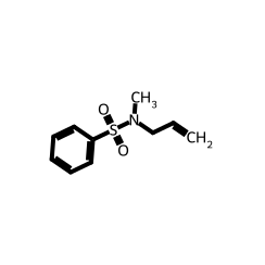 C=CCN(C)S(=O)(=O)c1ccccc1